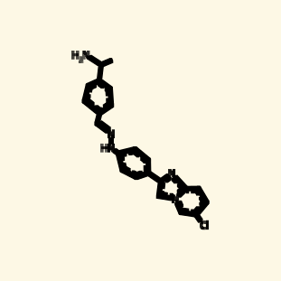 CC(N)c1ccc(C=NNc2ccc(-c3cn4cc(Cl)ccc4n3)cc2)cc1